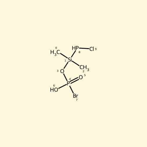 C[Si](C)(OP(=O)(O)Br)PCl